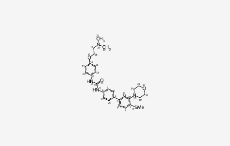 CSc1cnc(-c2ccc(NC(=O)Nc3ccc(OCCN(C)C)cc3)cc2)nc1N1CCOCC1